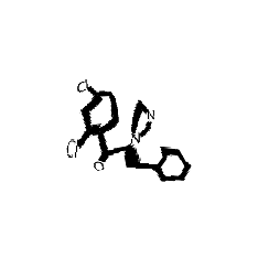 O=C(C(=CC1CCCCC1)n1ccnc1)c1ccc(Cl)cc1Cl